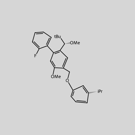 [CH2][C@@H](C)c1cccc(OCc2cc([C@@H](OC)C(C)(C)C)c(-c3ccccc3F)cc2OC)c1